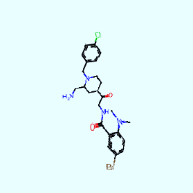 CN(C)c1ccc(Br)cc1C(=O)NCC(=O)C1CCN(Cc2ccc(Cl)cc2)C(CN)C1